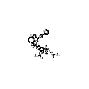 CC(C)(C)C(=O)OCOP(=O)(OCOC(=O)C(C)(C)C)C(F)(F)c1ccc2sc(C(=O)N[C@@]3(C)CCCC[C@H]4CC[C@@H](C(=O)N5CC(c6ccccn6)C5)N4C3=O)cc2c1